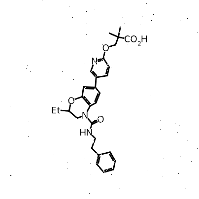 CCC1CN(C(=O)NCCc2ccccc2)c2ccc(-c3ccc(OCC(C)(C)C(=O)O)nc3)cc2O1